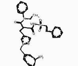 CCN(C(=O)C(Cc1cnn(Cc2cccc(N)c2)c1)C(=O)NS(=O)(=O)C=Cc1ccccc1)c1ccccc1